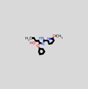 C=C/C(O)=C/C(=N\C(=N)c1cccc(OC)n1)Oc1ccccc1